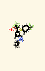 OC(CSc1ccc(C(F)(F)F)cc1)(c1ccc2c(cnn2-c2ccccc2)c1)C(F)(F)F